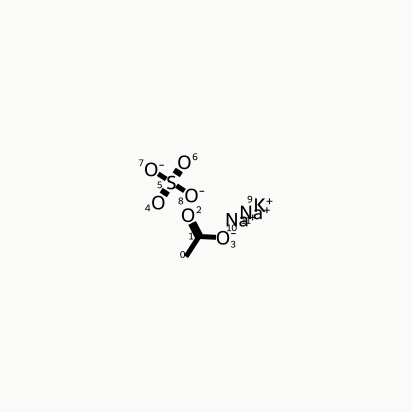 CC(=O)[O-].O=S(=O)([O-])[O-].[K+].[Na+].[Na+]